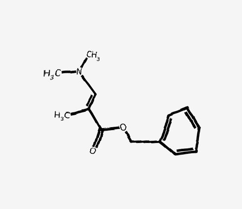 CC(=CN(C)C)C(=O)OCc1ccccc1